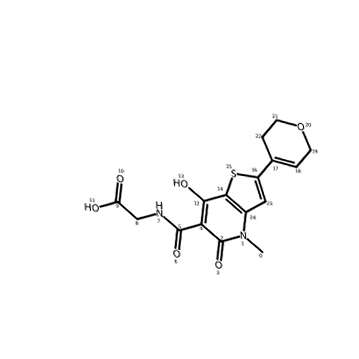 Cn1c(=O)c(C(=O)NCC(=O)O)c(O)c2sc(C3=CCOCC3)cc21